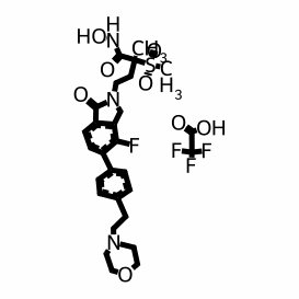 C[C@@](CCN1Cc2c(ccc(-c3ccc(CCN4CCOCC4)cc3)c2F)C1=O)(C(=O)NO)S(C)(=O)=O.O=C(O)C(F)(F)F